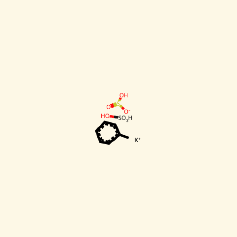 Cc1ccccc1.O=S(=O)(O)O.O=S([O-])O.[K+]